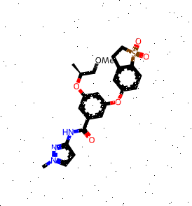 COC[C@H](C)Oc1cc(Oc2ccc3c(c2)CCS3(=O)=O)cc(C(=O)Nc2ccn(C)n2)c1